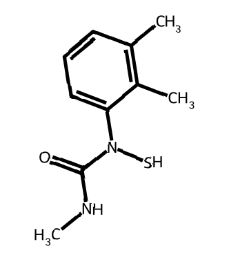 CNC(=O)N(S)c1cccc(C)c1C